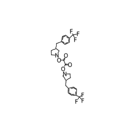 O=C(ON1CCC(Cc2ccc(C(F)(F)F)cc2)C1)C(=O)ON1CCC(Cc2ccc(C(F)(F)F)cc2)C1